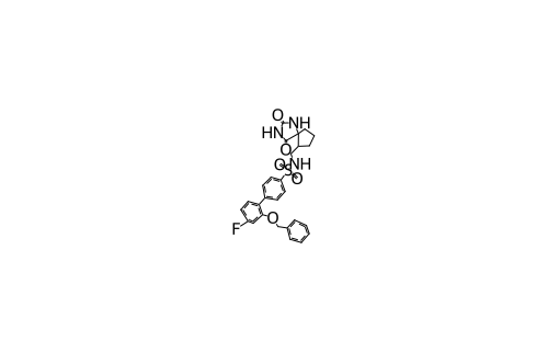 O=C1NC(=O)C2(CCCC2CNS(=O)(=O)c2ccc(-c3ccc(F)cc3OCc3ccccc3)cc2)N1